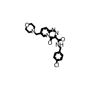 O=C(NCc1ccc(Cl)cc1)c1nnc2ccc(CN3CCOCC3)cn2c1=O